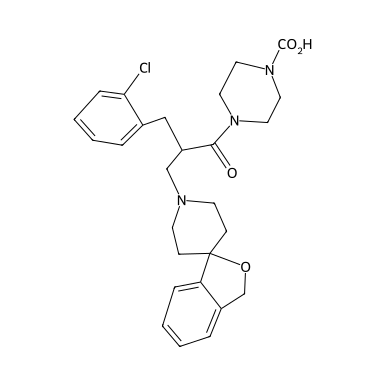 O=C(O)N1CCN(C(=O)C(Cc2ccccc2Cl)CN2CCC3(CC2)OCc2ccccc23)CC1